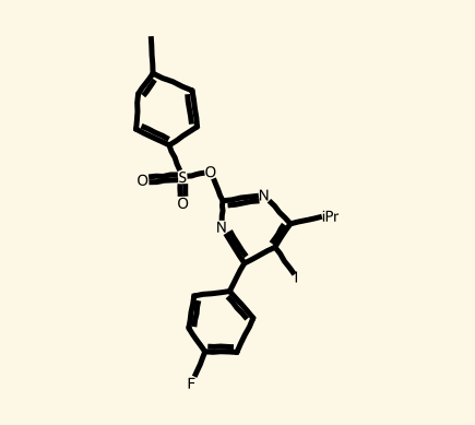 Cc1ccc(S(=O)(=O)Oc2nc(-c3ccc(F)cc3)c(I)c(C(C)C)n2)cc1